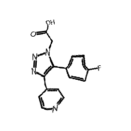 O=C(O)Cn1nnc(-c2ccncc2)c1-c1ccc(F)cc1